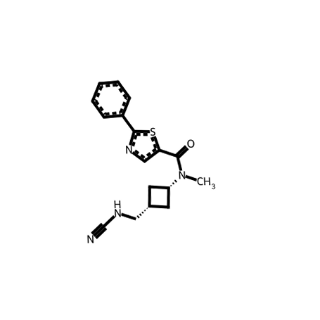 CN(C(=O)c1cnc(-c2ccccc2)s1)[C@H]1C[C@@H](CNC#N)C1